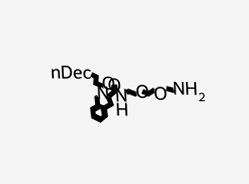 CCCCCCCCCCCCC(=O)N1Cc2ccccc2CC1C(=O)NCCOCCOCCN